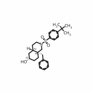 CC(C)(C)c1ccc(S(=O)(=O)N2CC[C@H]3C[C@@H](O)CC[C@]3(Cc3ccccc3)C2)cc1